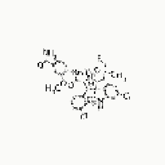 COc1cc(C(N)=O)ccc1NC(=O)[C@@H]1N[C@@H](CC(C)(C)CF)[C@@]2(C(=O)Nc3cc(Cl)ccc32)[C@H]1c1cccc(Cl)c1F